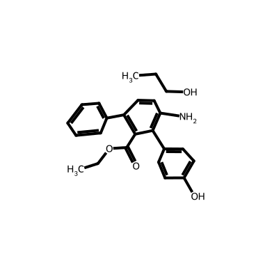 CCCO.CCOC(=O)c1c(-c2ccccc2)ccc(N)c1-c1ccc(O)cc1